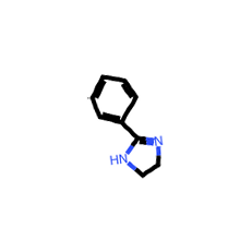 [c]1cccc(C2=NCCN2)c1